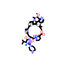 CCn1c(-c2cccnc2[C@H](C)OC)c2c3cc(ccc31)-c1csc(n1)C[C@H](NC(=O)C(C(C)C)N(C)C(=O)N1CCCN(C)CC1)C(=O)N1CCC[C@H](N1)C(=O)OCC(C)(C)C2